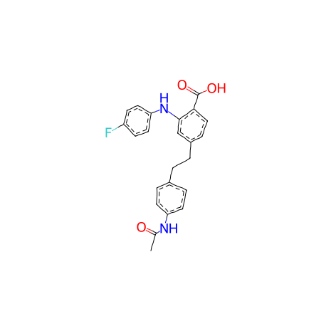 CC(=O)Nc1ccc(CCc2ccc(C(=O)O)c(Nc3ccc(F)cc3)c2)cc1